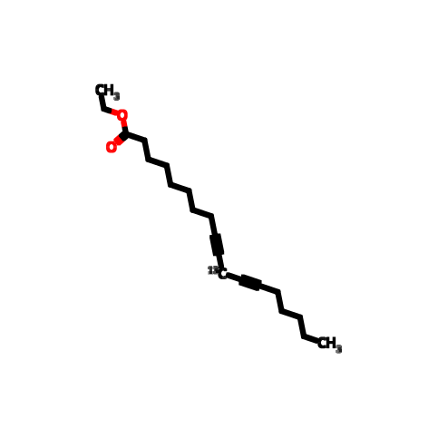 CCCCCC#C[13CH2]C#CCCCCCCCC(=O)OCC